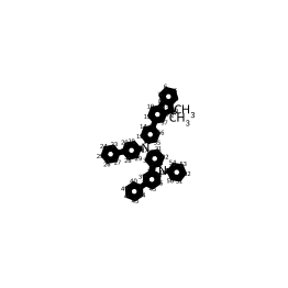 CC1(C)c2ccccc2-c2ccc(-c3ccc(N(c4ccc(-c5ccccc5)cc4)c4ccc5c(c4)c4cc(-c6ccccc6)ccc4n5-c4ccccc4)cc3)cc21